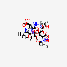 CC(=O)N[C@@H]1[C@@H](OC(C)CN(C(=O)[C@H](C)N)[C@H](CCC(=O)[O-])C(N)=O)[C@H](O)[C@@H](CO)O[C@@H]1O.[Na+]